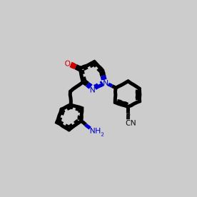 N#CC1=CC(n2ccc(=O)c(Cc3cccc(N)c3)n2)CC=C1